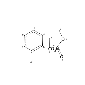 CC(=O)O.COC=O.Cc1ccccc1